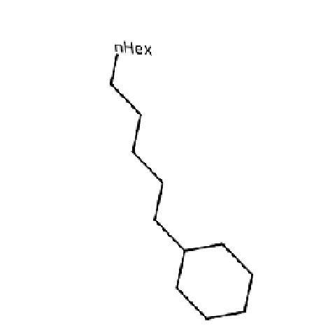 [CH2]CCCCCCCCCCC1CCCCC1